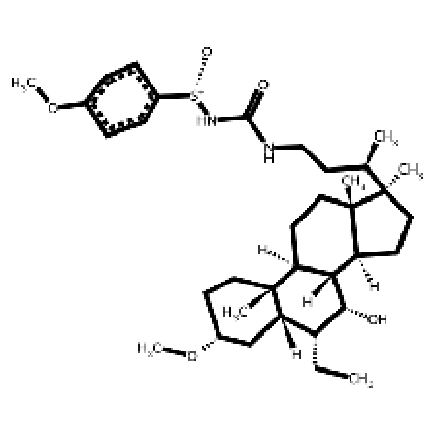 CC[C@H]1[C@@H](O)[C@@H]2[C@H](CC[C@@]3(C)[C@H]2CC[C@]3(C)[C@H](C)CCNC(=O)N[S@@+]([O-])c2ccc(OC)cc2)[C@@]2(C)CC[C@@H](OC)C[C@@H]12